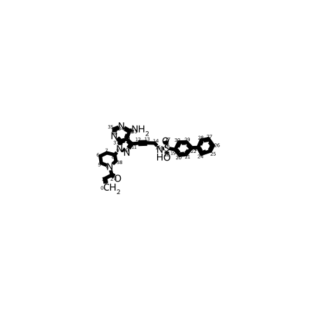 C=CC(=O)N1CCCC(n2nc(C#CCNS(=O)(=O)c3ccc(-c4ccccc4)cc3)c3c(N)ncnc32)C1